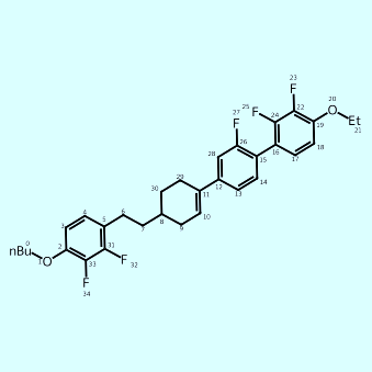 CCCCOc1ccc(CCC2CC=C(c3ccc(-c4ccc(OCC)c(F)c4F)c(F)c3)CC2)c(F)c1F